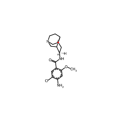 COc1cc(N)c(Cl)cc1C(=O)N[C@@H]1CC2CN3CCC2CC1C3